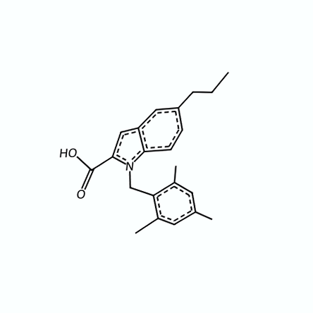 CCCc1ccc2c(c1)cc(C(=O)O)n2Cc1c(C)cc(C)cc1C